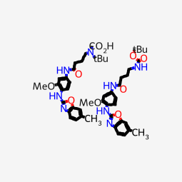 COc1cc(NC(=O)CCCN(C(=O)O)C(C)(C)C)ccc1Nc1nc2ccc(C)cc2o1.COc1cc(NC(=O)CCCNC(=O)OC(C)(C)C)ccc1Nc1nc2ccc(C)cc2o1